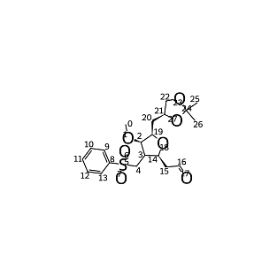 CO[C@@H]1C(CS(=O)(=O)c2ccccc2)[C@H](CC=O)O[C@@H]1C[C@H]1COC(C)(C)O1